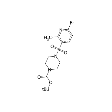 Cc1nc(Br)ccc1S(=O)(=O)N1CCN(C(=O)OC(C)(C)C)CC1